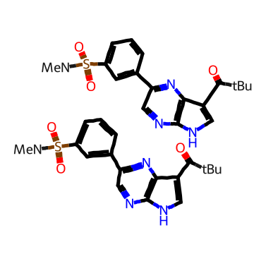 CNS(=O)(=O)c1cccc(-c2cnc3[nH]cc(C(=O)C(C)(C)C)c3n2)c1.CNS(=O)(=O)c1cccc(-c2cnc3[nH]cc(C(=O)C(C)(C)C)c3n2)c1